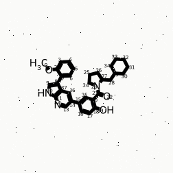 COc1ccccc1-c1c[nH]c2ncc(-c3ccc(O)c(C(=O)N4CCCC4CC4CCCCC4)c3)cc12